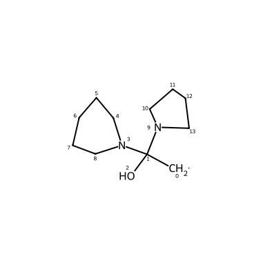 [CH2]C(O)(N1CCCCC1)N1CCCC1